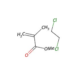 C=C(C)C(=O)OC.ClCCCl